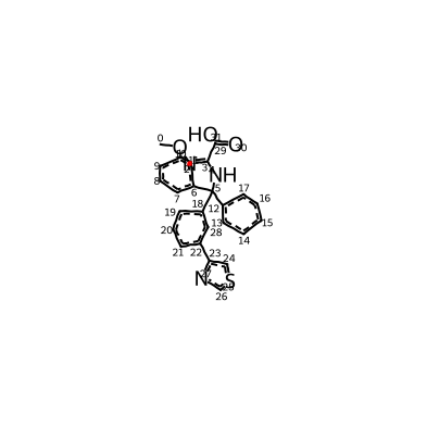 CON=C(NC(c1ccccc1)(c1ccccc1)c1cccc(-c2cscn2)c1)C(=O)O